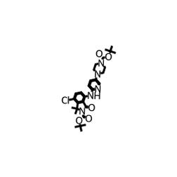 CC(C)(C)OC(=O)N1CCN(c2ccc(Nc3ccc(Cl)c4c3C(=O)N(C(=O)OC(C)(C)C)C4(C)C)nc2)CC1